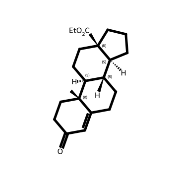 CCOC(=O)[C@@]12CCC[C@H]1[C@@H]1CCC3=CC(=O)CC[C@]3(C)[C@H]1CC2